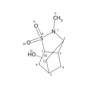 CN1C2C3CC(CC3S1(=O)=O)[C@@H]2O